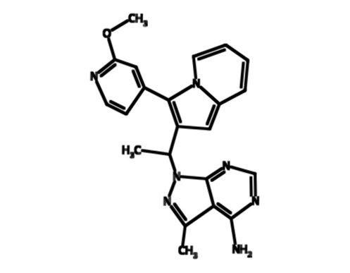 COc1cc(-c2c(C(C)n3nc(C)c4c(N)ncnc43)cc3ccccn23)ccn1